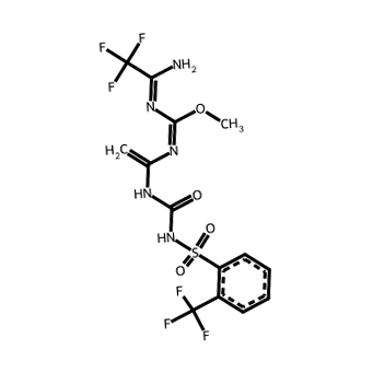 C=C(/N=C(\N=C(/N)C(F)(F)F)OC)NC(=O)NS(=O)(=O)c1ccccc1C(F)(F)F